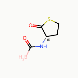 BC(=O)N[C@H]1CCSC1=O